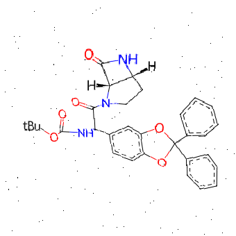 CC(C)(C)OC(=O)N[C@@H](C(=O)N1CC[C@H]2NC(=O)[C@H]21)c1ccc2c(c1)OC(c1ccccc1)(c1ccccc1)O2